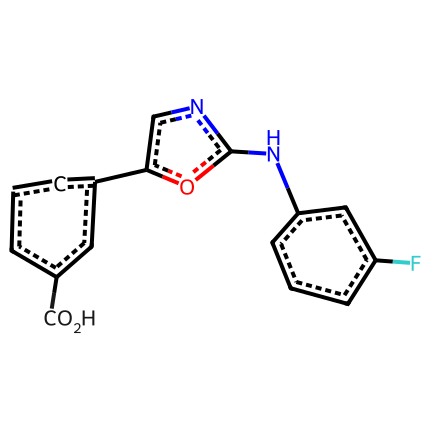 O=C(O)c1cccc(-c2cnc(Nc3cccc(F)c3)o2)c1